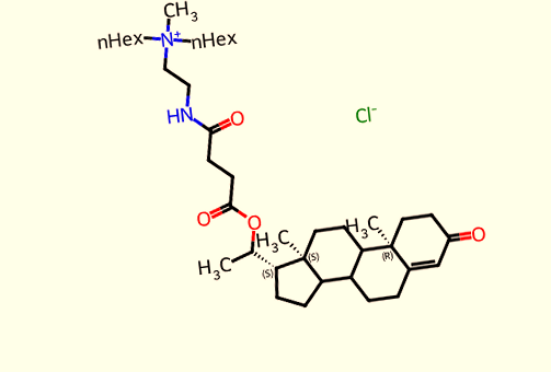 CCCCCC[N+](C)(CCCCCC)CCNC(=O)CCC(=O)OC(C)[C@H]1CCC2C3CCC4=CC(=O)CC[C@]4(C)C3CC[C@@]21C.[Cl-]